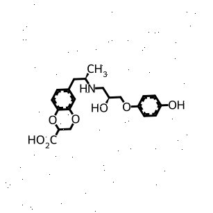 C[C@H](Cc1ccc2c(c1)OCC(C(=O)O)O2)NC[C@H](O)COc1ccc(O)cc1